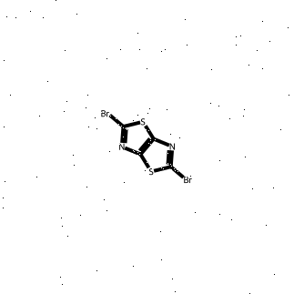 Brc1nc2sc(Br)nc2s1